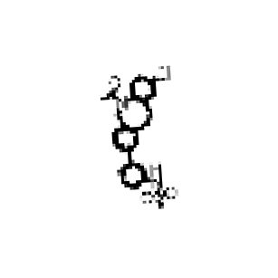 CC(=O)N1Cc2ccc(-c3cccc(NS(C)(=O)=O)c3)cc2CCc2cc(Cl)ccc21